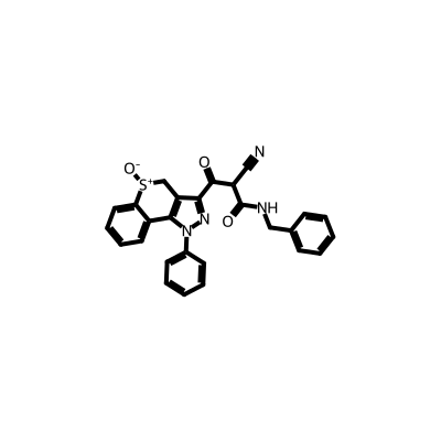 N#CC(C(=O)NCc1ccccc1)C(=O)c1nn(-c2ccccc2)c2c1C[S+]([O-])c1ccccc1-2